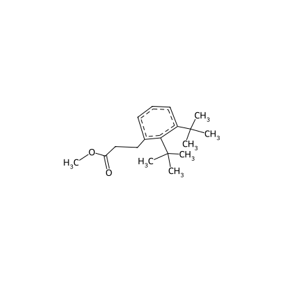 COC(=O)CCc1cccc(C(C)(C)C)c1C(C)(C)C